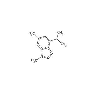 Cc1cc(C(C)C)c2ccn(C)c2c1